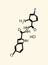 Cl.Nc1cc(F)ccc1C(=O)NNC(=O)c1cc2cc(Cl)ccc2[nH]1